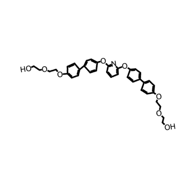 OCCOCCOc1ccc(-c2ccc(Oc3cccc(Oc4ccc(-c5ccc(OCCOCCO)cc5)cc4)n3)cc2)cc1